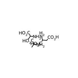 CC(N)C(=O)O.CC(N)C(=O)O.NC(CC(=O)O)C(=O)O